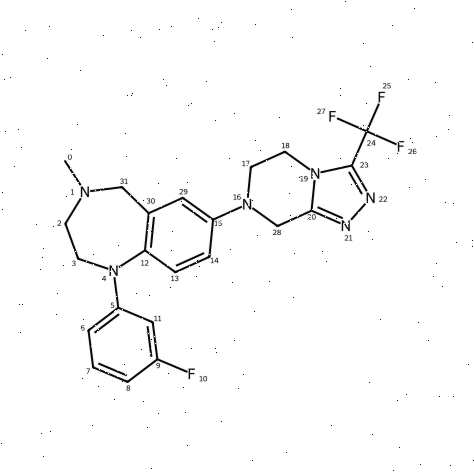 CN1CCN(c2cccc(F)c2)c2ccc(N3CCn4c(nnc4C(F)(F)F)C3)cc2C1